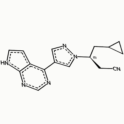 N#CC[C@H](CC1CC1)n1cc(-c2ncnc3[nH]ccc23)cn1